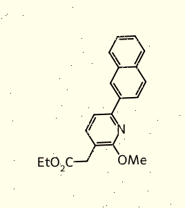 CCOC(=O)Cc1ccc(-c2ccc3ccccc3c2)nc1OC